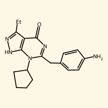 CCc1n[nH]c2c1c(=O)nc(Cc1ccc(N)cc1)n2C1CCCC1